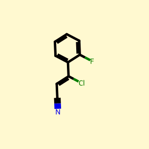 N#CC=C(Cl)c1ccccc1F